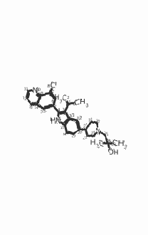 CC(C)c1c(-c2cc(Cl)c3ncccc3c2)[nH]c2ccc(C3CCN(CC(C)(C)O)CC3)cc12